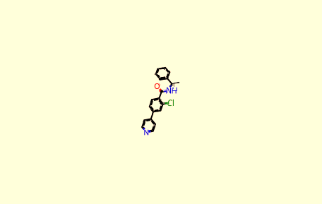 C[C@@H](NC(=O)c1ccc(-c2ccncc2)cc1Cl)c1ccccc1